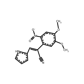 COc1cc(C(C#N)=Cc2ccc[nH]2)c([N+](=O)[O-])cc1OC